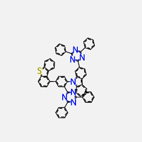 c1ccc(-c2nc(-c3ccccc3)nc(-c3ccc4c5ccccc5n(-c5ccc(-c6cccc7sc8ccccc8c67)cc5-c5nc(-c6ccccc6)nc(-c6ccccc6)n5)c4c3)n2)cc1